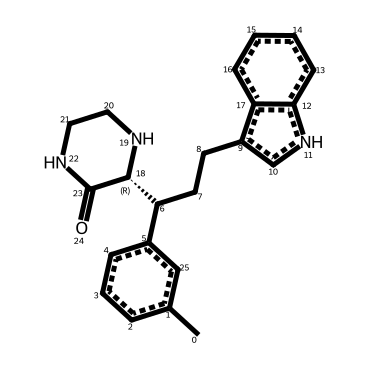 Cc1cccc(C(CCc2c[nH]c3ccccc23)[C@H]2NCCNC2=O)c1